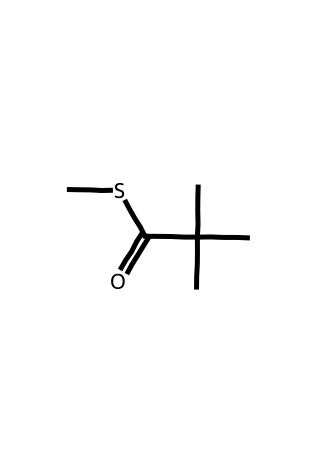 CSC(=O)C(C)(C)C